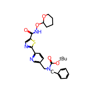 CC(C)(C)OC(=O)N(Cc1ccccc1)Cc1ccc(-c2ncc(C(=O)NOC3CCCCO3)s2)nc1